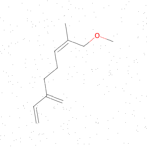 C=CC(=C)CCC=C(C)COC